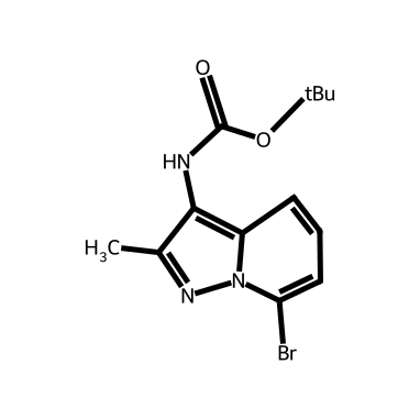 Cc1nn2c(Br)cccc2c1NC(=O)OC(C)(C)C